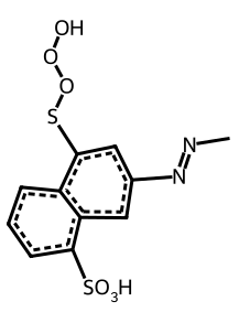 C/N=N/c1cc(SOOO)c2cccc(S(=O)(=O)O)c2c1